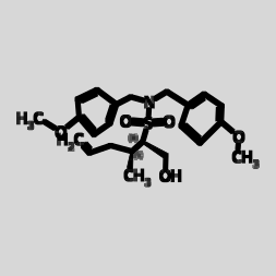 C=CC[C@H](C)[C@H](CO)S(=O)(=O)N(Cc1ccc(OC)cc1)Cc1ccc(OC)cc1